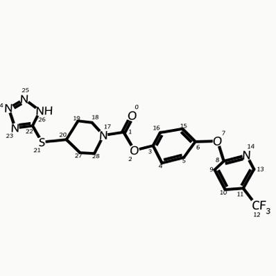 O=C(Oc1ccc(Oc2ccc(C(F)(F)F)cn2)cc1)N1CCC(Sc2nnn[nH]2)CC1